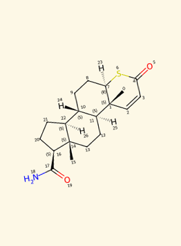 C[C@]12C=CC(=O)S[C@@H]1CC[C@@H]1[C@@H]2CC[C@]2(C)[C@@H](C(N)=O)CC[C@@H]12